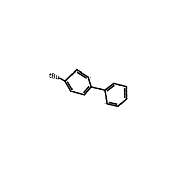 CC(C)(C)c1c[c]c(-c2[c]cccc2)cc1